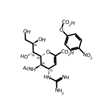 CC(=O)N[C@H]1[C@H]([C@H](O)[C@H](O)CO)OC(C(=O)O)=C[C@@H]1NC(=N)N.O=C(O)Oc1ccc([N+](=O)[O-])cc1